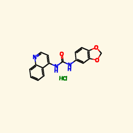 Cl.O=C(Nc1ccc2c(c1)OCO2)Nc1ccnc2ccccc12